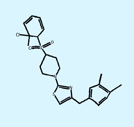 Cc1ccc(Cc2csc(N3CCC(S(=O)(=O)C4C=CC=CC4(C)Cl)CC3)n2)cc1C